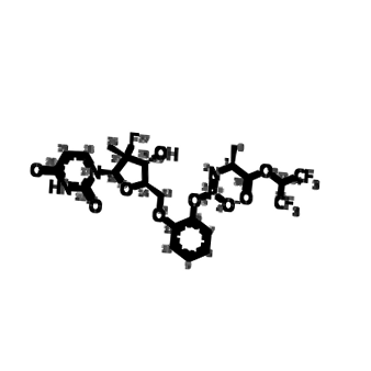 C[C@H](/N=[P+](\[O-])Oc1ccccc1OC[C@H]1O[C@@H](n2ccc(=O)[nH]c2=O)[C@](C)(F)[C@@H]1O)C(=O)OC(C(F)(F)F)C(F)(F)F